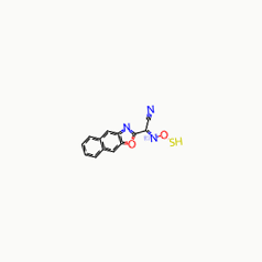 N#C/C(=N\OS)c1nc2cc3ccccc3cc2o1